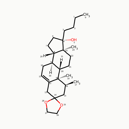 CCCC[C@]1(O)CC[C@H]2[C@@H]3CC=C4CC5(C[C@H](C)[C@]4(C)[C@H]3CC[C@@]21C)OCCO5